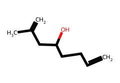 C=CCCC(O)CC(=C)C